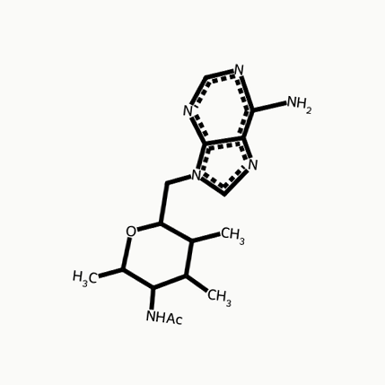 CC(=O)NC1C(C)OC(Cn2cnc3c(N)ncnc32)C(C)C1C